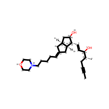 CC#CC[C@@H](C)[C@H](O)C=C[C@@H]1[C@H]2CC(=CCCCCN3CCOCC3)C[C@H]2C[C@H]1O